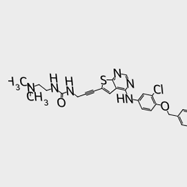 CN(C)CCNC(=O)NCC#Cc1cc2c(Nc3ccc(OCc4cccc(F)c4)c(Cl)c3)ncnc2s1